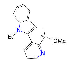 CCn1c(-c2cccnc2[C@H](C)OC)cc2ccccc21